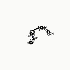 C#CCC(CC#C)COC(=O)c1ccc(OC(=O)CCC[C@H]2CC[C@@H]3[C@@H](/C=C/[C@]4(O)CC4Oc4cc(F)ccc4F)[C@H](O)C[C@@H]3OC2)cc1